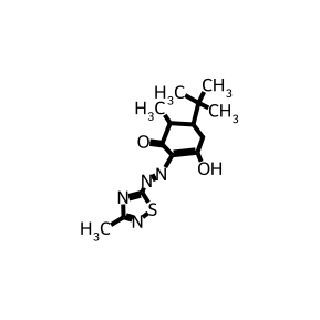 Cc1nsc(N=NC2=C(O)CC(C(C)(C)C)C(C)C2=O)n1